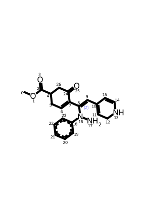 COC(=O)C1CC=C(/C(=C/C2=CCNC=C2)N(N)c2ccccc2)C(=O)C1